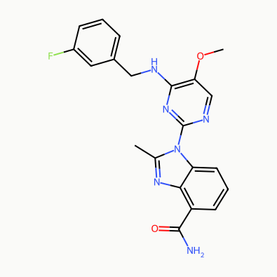 COc1cnc(-n2c(C)nc3c(C(N)=O)cccc32)nc1NCc1cccc(F)c1